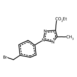 CCOC(=O)c1nn(-c2ccc(CBr)cc2)nc1C